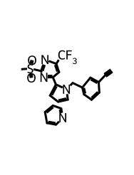 C#Cc1cccc(Cn2cccc2-c2cc(C(F)(F)F)nc(S(C)(=O)=O)n2)c1.c1ccncc1